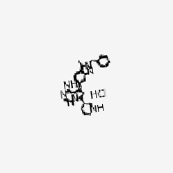 Cc1c2ccc(-c3cc(C4CCCNC4)n4ncnc(N)c34)cc2nn1Cc1ccccc1.Cl